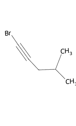 CC(C)CC#CBr